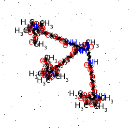 CNC(=O)[C@H](CCCCNC(=O)COCCOCCOCCO[C@@H]1O[C@H](COC(C)=O)[C@H](OC(C)=O)[C@H](OC(C)=O)[C@H]1NC(C)=O)NC(=O)[C@H](CCCCNC(=O)COCCOCCOCCO[C@@H]1O[C@H](COC(C)=O)[C@H](OC(C)=O)[C@H](OC(C)=O)[C@H]1NC(C)=O)NC(=O)COCCOCCOCCO[C@@H]1O[C@H](COC(C)=O)[C@H](OC(C)=O)[C@H](OC(C)=O)[C@H]1NC(C)=O